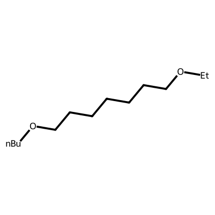 CCCCOCCCCCCCOCC